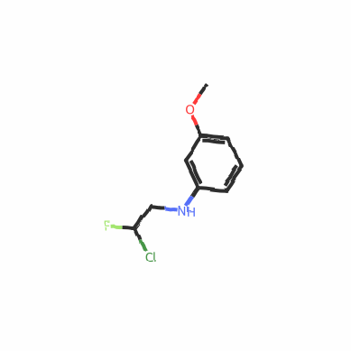 COc1cccc(NCC(F)Cl)c1